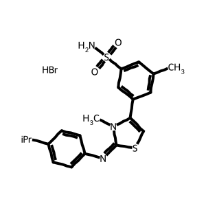 Br.Cc1cc(-c2csc(=Nc3ccc(C(C)C)cc3)n2C)cc(S(N)(=O)=O)c1